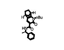 CCCCn1c2c(cc(C(=O)N[C@H](C)c3ccccc3)c1=O)[C@@H]1CC[C@H]2C1